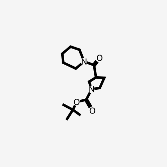 CC(C)(C)OC(=O)N1CCC(C(=O)N2CCCCC2)C1